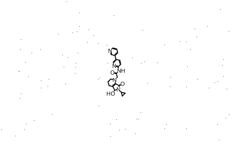 O=C(CN1CCCC2=C1C(=O)N(C1CC1)C2O)Nc1ccc(-c2cccnc2)cn1